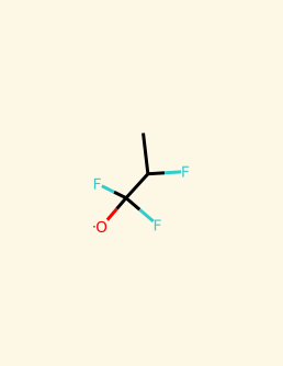 CC(F)C([O])(F)F